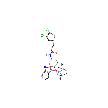 O=C(/C=C/c1ccc(Cl)c(Cl)c1)NC1CCC(CN2[C@@H]3CC[C@H]2CC(c2c[nH]c4ccccc24)C3)CC1